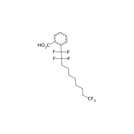 O=C(O)c1ccccc1C(F)(F)C(F)(F)CCCCCCCC(F)(F)F